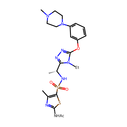 CCn1c(Oc2cccc(N3CCN(C)CC3)c2)nnc1[C@@H](C)NS(=O)(=O)c1sc(NC(C)=O)nc1C